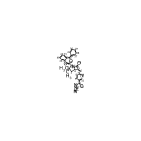 CC1(C)CC2/C(=C\c3ccc(C(=O)N=[N+]=[N-])cn3)C(=O)N2[C@H]1C(=O)OC(c1ccccc1)c1ccccc1